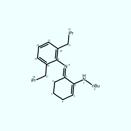 CCCCNC1=CCCC/C1=N\c1c(CC(C)C)cccc1CC(C)C